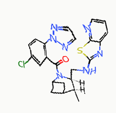 C[C@H]1C2CC(C2)N(C(=O)c2cc(Cl)ccc2-n2nccn2)[C@H]1CNc1nc2cccnc2s1